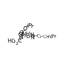 CCCC1CCC(C2CC=C(c3cnc(-c4ccc(C[C@H](NC(=O)c5ccc(C(C)C)cc5)C(=O)N5CC(C(=O)O)C5)cc4)nc3)CC2)CC1